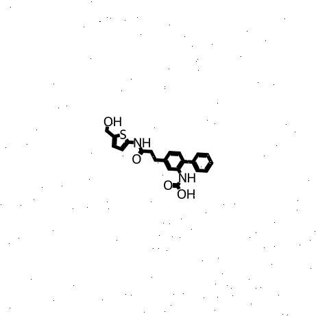 O=C(O)Nc1cc(CCC(=O)Nc2ccc(CO)s2)ccc1-c1ccccc1